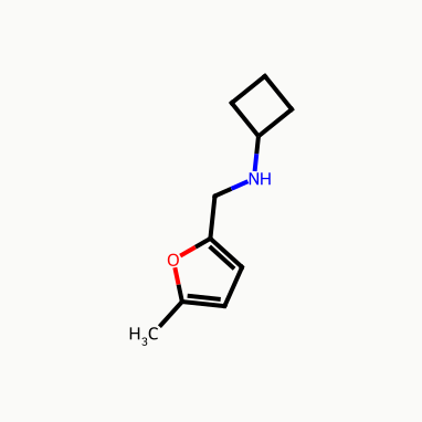 Cc1ccc(CNC2CCC2)o1